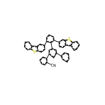 N#Cc1ccccc1-c1cc(-c2ccccc2)cc(-c2c(-c3ccc4c(c3)sc3ccccc34)cccc2-c2ccc3sc4ccccc4c3c2)c1